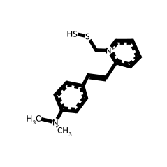 CN(C)c1ccc(/C=C/c2cccc[n+]2CSS)cc1